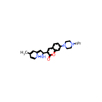 CCCN1CCN(c2ccc3cc(C4C=C5C=C(C)C=CN5N4)c(=O)oc3c2)CC1